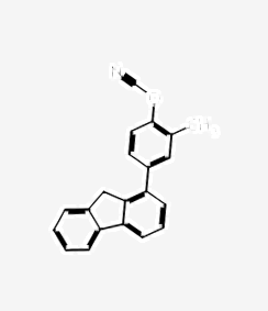 Cc1cc(-c2cccc3c2Cc2ccccc2-3)ccc1OC#N